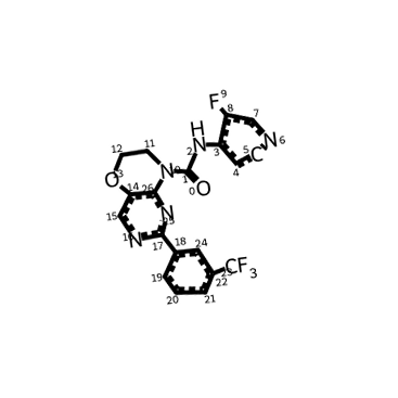 O=C(Nc1ccncc1F)N1CCOc2cnc(-c3cccc(C(F)(F)F)c3)nc21